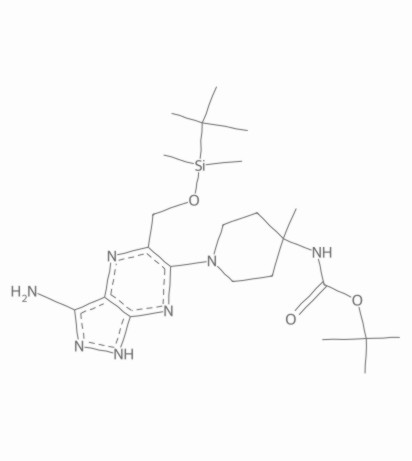 CC1(NC(=O)OC(C)(C)C)CCN(c2nc3[nH]nc(N)c3nc2CO[Si](C)(C)C(C)(C)C)CC1